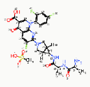 CS(=O)(=O)O.C[C@H](N)C(=O)N[C@@H](C)C(=O)N[C@H]1[C@@H]2CN(c3nc4c(cc3F)c(=O)c(C(=O)O)cn4-c3ccc(F)cc3F)C[C@@H]21